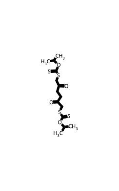 CC(C)OC(=S)SCC(=O)CCC(=O)CSC(=S)OC(C)C